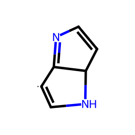 [C]1=CNC2C=CN=C12